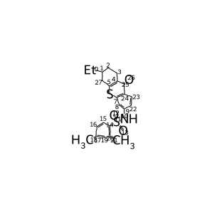 CCC1CCc2c(sc3cc(NS(=O)(=O)c4ccc(C)cc4C)ccc3c2=O)C1